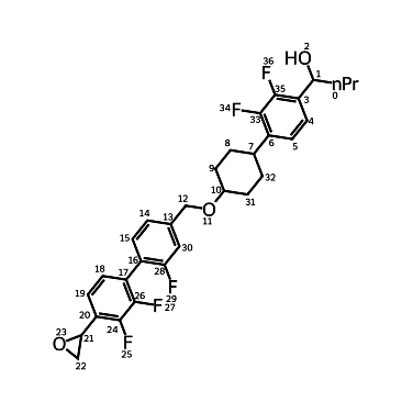 CCCC(O)c1ccc(C2CCC(OCc3ccc(-c4ccc(C5CO5)c(F)c4F)c(F)c3)CC2)c(F)c1F